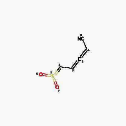 N#CC=C=CC=S(=O)=O